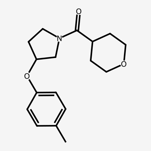 Cc1ccc(OC2CCN(C(=O)C3CCOCC3)C2)cc1